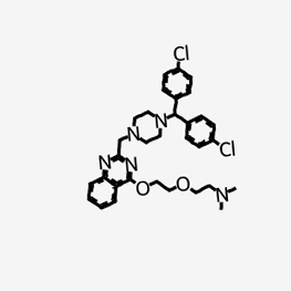 CN(C)CCOCCOc1nc(CN2CCN(C(c3ccc(Cl)cc3)c3ccc(Cl)cc3)CC2)nc2ccccc12